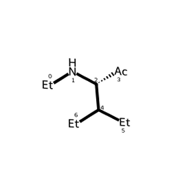 CCN[C@H](C(C)=O)C(CC)CC